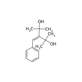 CC(C)(O)C(=Cc1ccccc1)C(C)(C)O